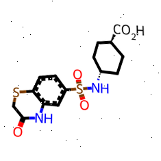 O=C1CSc2ccc(S(=O)(=O)N[C@H]3CC[C@H](C(=O)O)CC3)cc2N1